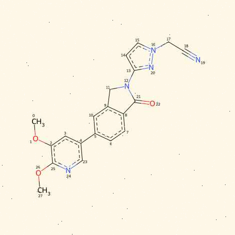 COc1cc(-c2ccc3c(c2)CN(c2ccn(CC#N)n2)C3=O)cnc1OC